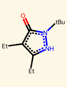 CCc1[nH]n(C(C)(C)C)c(=O)c1CC